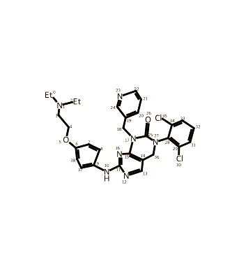 CCN(CC)CCOc1ccc(Nc2ncc3c(n2)N(Cc2cccnc2)C(=O)N(c2c(Cl)cccc2Cl)C3)cc1